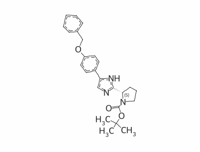 CC(C)(C)OC(=O)N1CCC[C@H]1c1ncc(-c2ccc(OCc3ccccc3)cc2)[nH]1